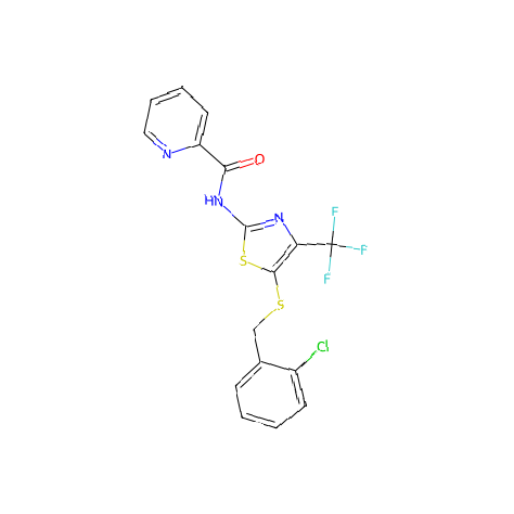 O=C(Nc1nc(C(F)(F)F)c(SCc2ccccc2Cl)s1)c1ccccn1